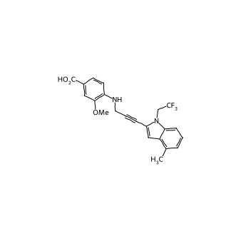 COc1cc(C(=O)O)ccc1NCC#Cc1cc2c(C)cccc2n1CC(F)(F)F